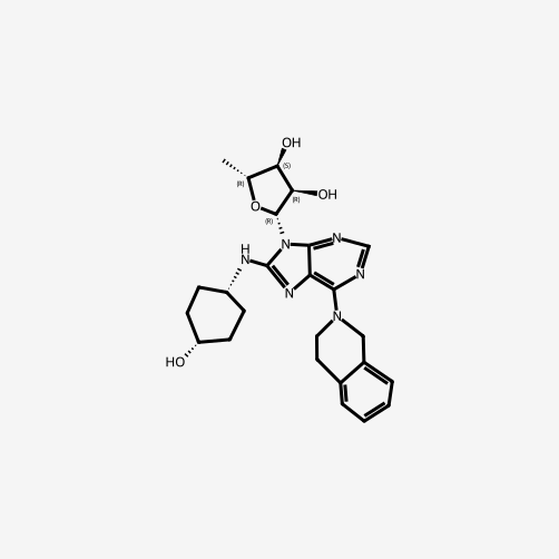 C[C@H]1O[C@@H](n2c(N[C@H]3CC[C@@H](O)CC3)nc3c(N4CCc5ccccc5C4)ncnc32)[C@H](O)[C@@H]1O